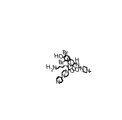 CN1CCN(C(=O)N[C@H](Cc2cc(Br)c(O)c(Br)c2)C(=O)N[C@@H](CCCCN)C(=O)N2CCN(c3ccncc3)CC2)CC1